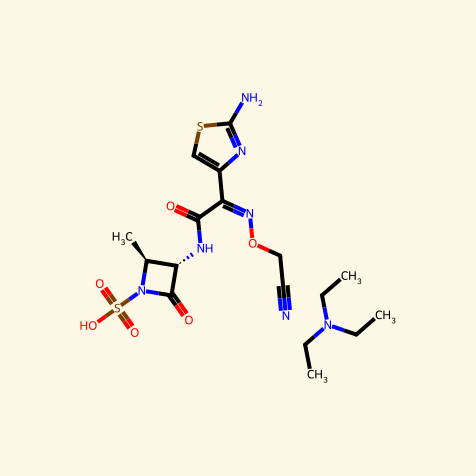 CCN(CC)CC.C[C@H]1[C@H](NC(=O)/C(=N\OCC#N)c2csc(N)n2)C(=O)N1S(=O)(=O)O